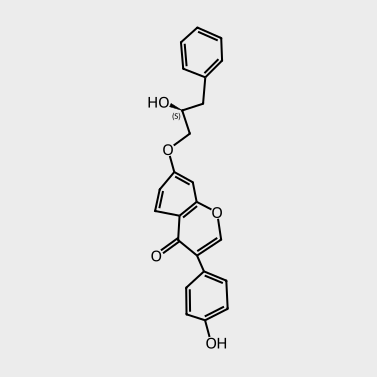 O=c1c(-c2ccc(O)cc2)coc2cc(OC[C@@H](O)Cc3ccccc3)ccc12